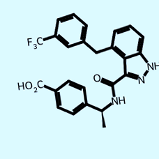 C[C@H](NC(=O)c1n[nH]c2cccc(Cc3cccc(C(F)(F)F)c3)c12)c1ccc(C(=O)O)cc1